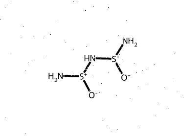 N[S+]([O-])N[S+](N)[O-]